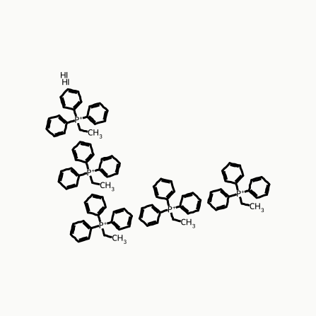 CC[P+](c1ccccc1)(c1ccccc1)c1ccccc1.CC[P+](c1ccccc1)(c1ccccc1)c1ccccc1.CC[P+](c1ccccc1)(c1ccccc1)c1ccccc1.CC[P+](c1ccccc1)(c1ccccc1)c1ccccc1.CC[P+](c1ccccc1)(c1ccccc1)c1ccccc1.I.I